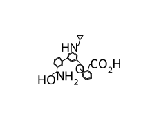 NC(CO)c1cccc(-c2cc(COc3ccccc3CC(=O)O)cc(NCC3CC3)c2)c1